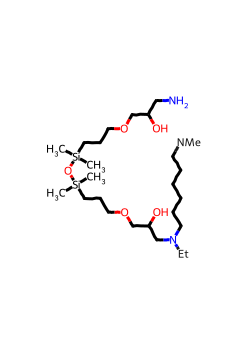 CCN(CCCCCCNC)CC(O)COCCC[Si](C)(C)O[Si](C)(C)CCCOCC(O)CN